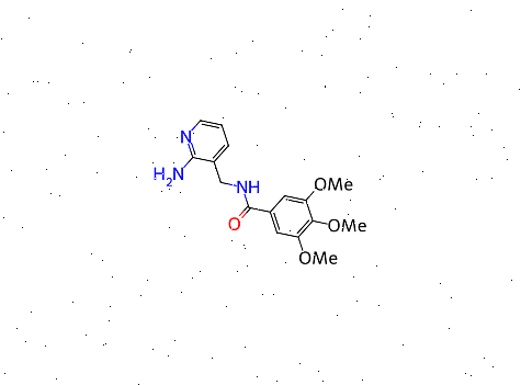 COc1cc(C(=O)NCc2cccnc2N)cc(OC)c1OC